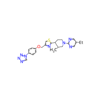 CCc1cnc(N2CCC(c3nc(COc4ccc(-n5cnnn5)cc4)cs3)C(C)C2)nc1